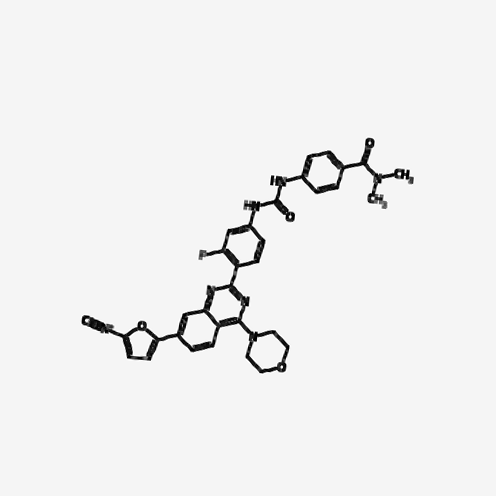 [C-]#[N+]c1ccc(-c2ccc3c(N4CCOCC4)nc(-c4ccc(NC(=O)Nc5ccc(C(=O)N(C)C)cc5)cc4F)nc3c2)o1